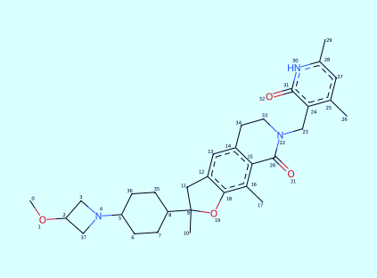 COC1CN(C2CCC(C3(C)Cc4cc5c(c(C)c4O3)C(=O)N(Cc3c(C)cc(C)[nH]c3=O)CC5)CC2)C1